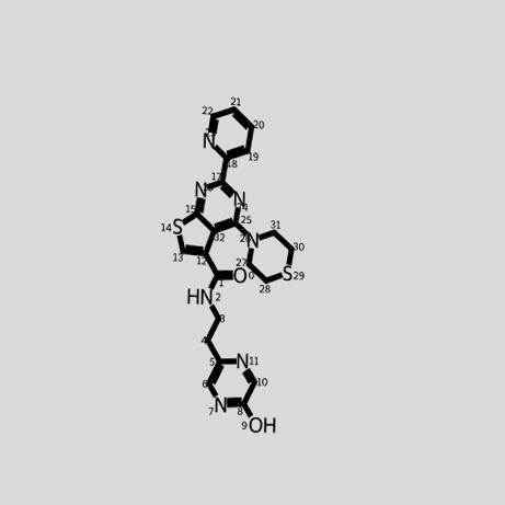 O=C(NCCc1cnc(O)cn1)c1csc2nc(-c3ccccn3)nc(N3CCSCC3)c12